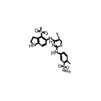 CNS(=O)(=O)c1cc(Nc2ncc(F)c(Nc3ccc4c(c3S(C)(=O)=O)CCN4)n2)ccc1C